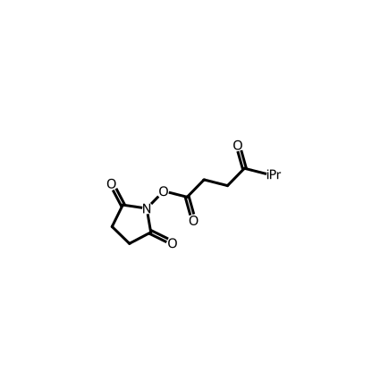 CC(C)C(=O)CCC(=O)ON1C(=O)CCC1=O